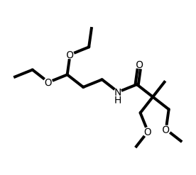 CCOC(CCNC(=O)C(C)(COC)COC)OCC